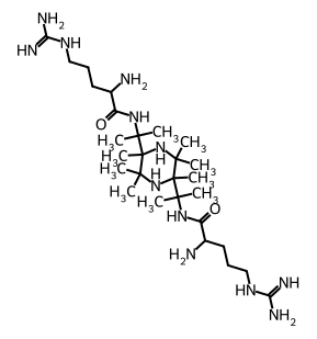 CC(C)(NC(=O)C(N)CCCNC(=N)N)C1(C)NC(C)(C)C(C)(C(C)(C)NC(=O)C(N)CCCNC(=N)N)NC1(C)C